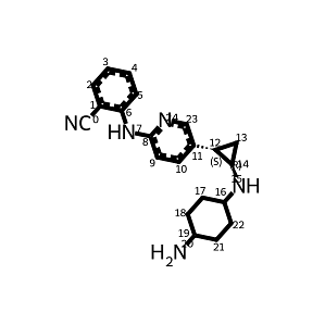 N#Cc1ccccc1Nc1ccc([C@@H]2C[C@H]2NC2CCC(N)CC2)cn1